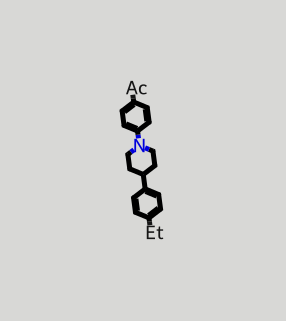 CCc1ccc(C2CCN(c3ccc(C(C)=O)cc3)CC2)cc1